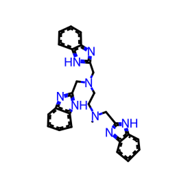 CN(CCN(Cc1nc2ccccc2[nH]1)Cc1nc2ccccc2[nH]1)Cc1nc2ccccc2[nH]1